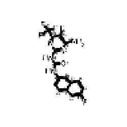 Nc1nc(NC(=O)Nc2ccc3cc(F)ccc3c2)nc(C(F)(F)F)c1F